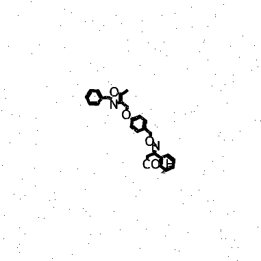 Cc1oc(-c2ccccc2)nc1COc1ccc(CO/N=C(\CC(=O)O)c2ccccc2)cc1